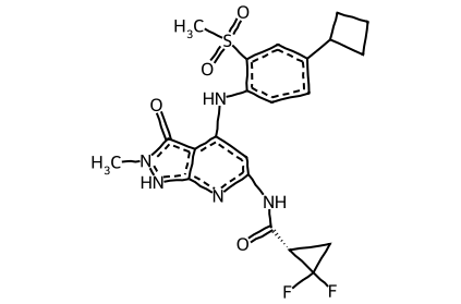 Cn1[nH]c2nc(NC(=O)[C@@H]3CC3(F)F)cc(Nc3ccc(C4CCC4)cc3S(C)(=O)=O)c2c1=O